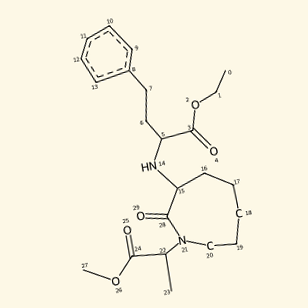 CCOC(=O)C(CCc1ccccc1)NC1CCCCCN(C(C)C(=O)OC)C1=O